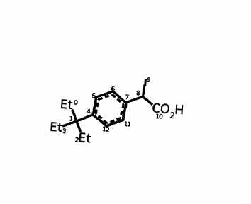 CCC(CC)(CC)c1ccc(C(C)C(=O)O)cc1